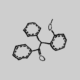 COc1ccccc1C(C(=O)c1ccccc1)c1ccccc1